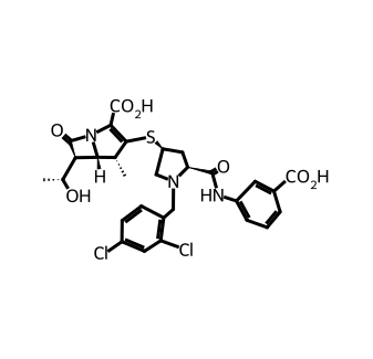 C[C@@H](O)[C@H]1C(=O)N2C(C(=O)O)=C(S[C@H]3C[C@@H](C(=O)Nc4cccc(C(=O)O)c4)N(Cc4ccc(Cl)cc4Cl)C3)[C@H](C)[C@H]12